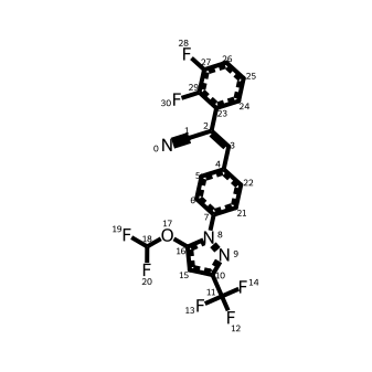 N#C/C(=C\c1ccc(-n2nc(C(F)(F)F)cc2OC(F)F)cc1)c1cccc(F)c1F